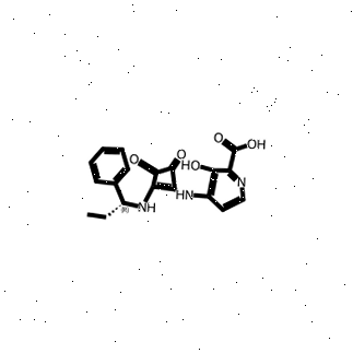 CC[C@@H](Nc1c(Nc2ccnc(C(=O)O)c2O)c(=O)c1=O)c1ccccc1